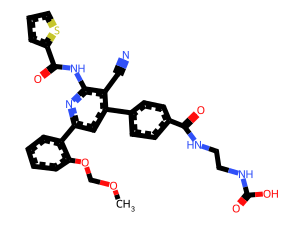 COCOc1ccccc1-c1cc(-c2ccc(C(=O)NCCNC(=O)O)cc2)c(C#N)c(NC(=O)c2cccs2)n1